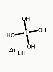 [LiH].[OH][Ti]([OH])([OH])[OH].[Zn]